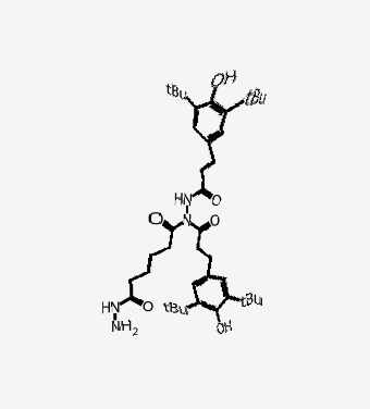 CC(C)(C)c1cc(CCC(=O)NN(C(=O)CCCCC(=O)NN)C(=O)CCc2cc(C(C)(C)C)c(O)c(C(C)(C)C)c2)cc(C(C)(C)C)c1O